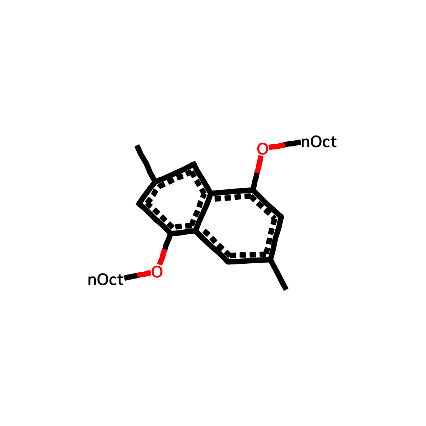 CCCCCCCCOc1cc(C)cc2c(OCCCCCCCC)cc(C)cc12